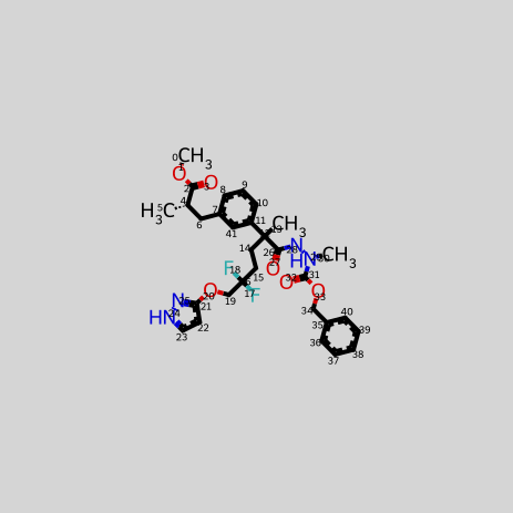 COC(=O)[C@@H](C)Cc1cccc(C(C)(CCC(F)(F)COc2cc[nH]n2)C(=O)NN(C)C(=O)OCc2ccccc2)c1